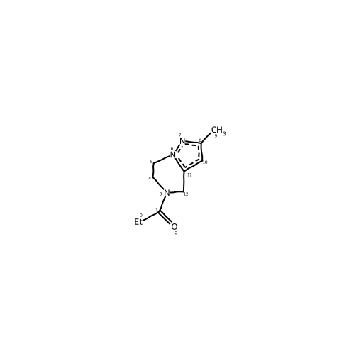 CCC(=O)N1CCn2nc(C)cc2C1